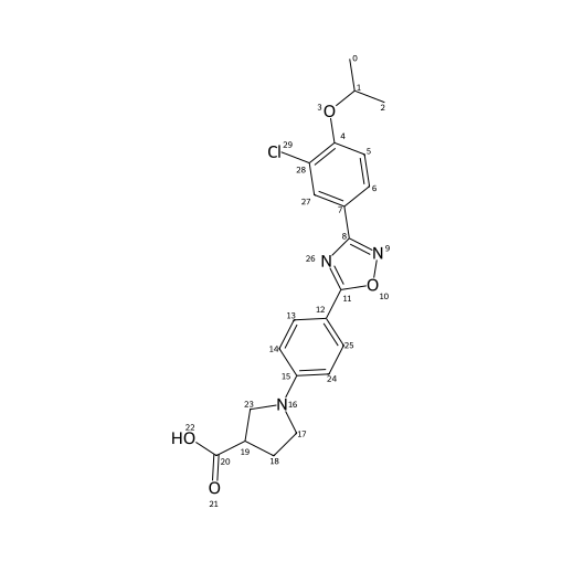 CC(C)Oc1ccc(-c2noc(-c3ccc(N4CCC(C(=O)O)C4)cc3)n2)cc1Cl